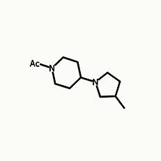 CC(=O)N1CCC(N2CCC(C)C2)CC1